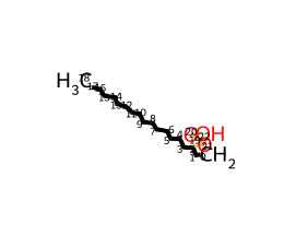 [CH2]CC(CCCCCCCCCCCCCCCC)S(=O)(=O)O